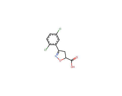 O=C(O)C1CC(c2cc(Cl)ccc2Cl)=NO1